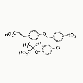 CC(C)(Oc1ccc(Cl)cc1)C(=O)O.O=C(O)C=Cc1ccc(OCc2ccc([N+](=O)[O-])cc2)cc1